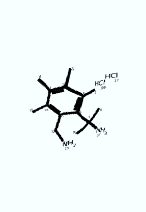 Cc1c(C)c(C)c(C(C)(C)N)c(CN)c1C.Cl.Cl